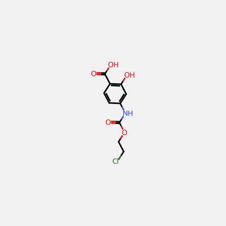 O=C(Nc1ccc(C(=O)O)c(O)c1)OCCCl